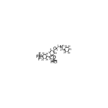 CN(CCOc1ccc2c(c1)OC(C)(C)CC2c1ccc(C(F)(F)F)cc1)Cc1ccccc1.Cl